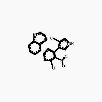 O=[N+]([O-])c1c(Cl)cccc1-c1c[nH]cc1Cl.c1ccc2ncccc2c1